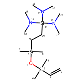 C=C[Si](C)(C)O[Si](C)(C)CC[Si](N(C)C)(N(C)C)N(C)C